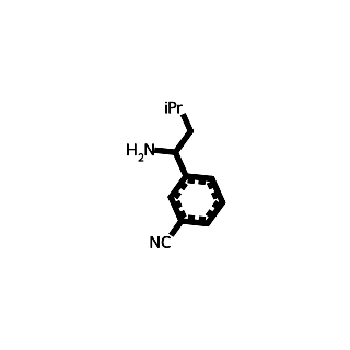 CC(C)CC(N)c1cccc(C#N)c1